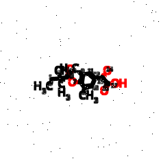 CCC(C)(C)C(=O)Oc1c(C)cc(C(=O)C(=O)O)cc1C